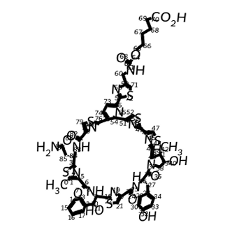 Cc1sc2nc1C(=O)N[C@@H]([C@H](O)c1ccccc1)c1nc(cs1)C(=O)N[C@@H](Cc1ccc(O)cc1)C(=O)N1C[C@H](O)[C@H](C)[C@H]1c1nc(cs1)-c1nc(cs1)-c1nc(-c3nc(CNC(=O)OCCCCCC(=O)O)cs3)ccc1-c1nc(cs1)C(=O)N[C@H]2CC(N)=O